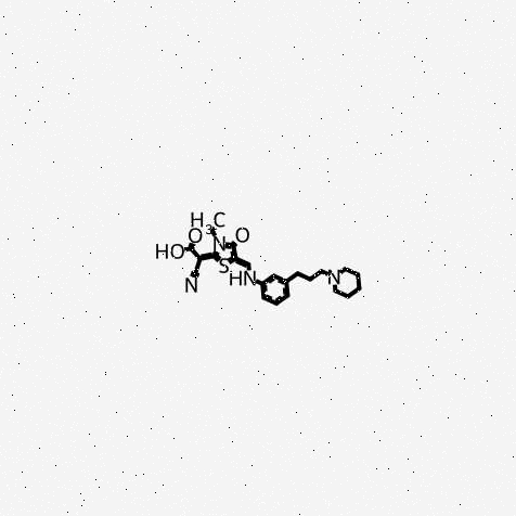 CCn1c(=C(C#N)C(=O)O)sc(=CNc2cccc(CCCN3CCCCC3)c2)c1=O